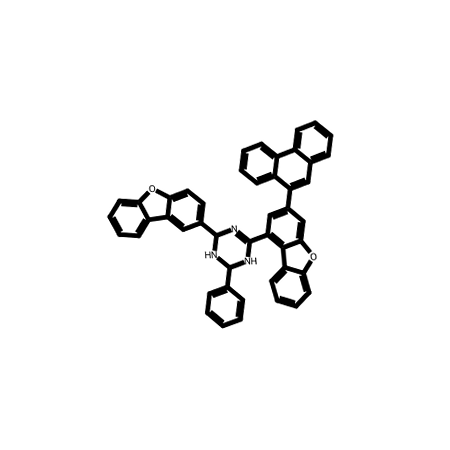 c1ccc(C2NC(c3cc(-c4cc5ccccc5c5ccccc45)cc4oc5ccccc5c34)=NC(c3ccc4oc5ccccc5c4c3)N2)cc1